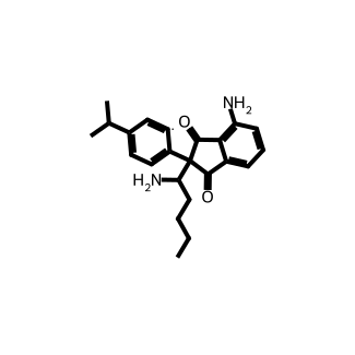 CCCCC(N)C1(c2[c]cc(C(C)C)cc2)C(=O)c2cccc(N)c2C1=O